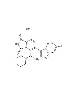 CC(c1c(-c2noc3cc(F)ccc23)ccc2c1C(=O)NC2=O)N1CCCCC1.Cl